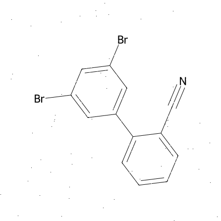 N#Cc1ccccc1-c1cc(Br)cc(Br)c1